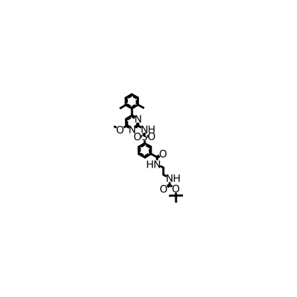 COc1cc(-c2c(C)cccc2C)nc(NS(=O)(=O)c2cccc(C(=O)NCCNC(=O)OC(C)(C)C)c2)n1